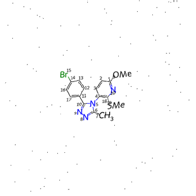 COc1ccc(-n2c(C)nnc2-c2ccc(Br)cc2)c(SC)n1